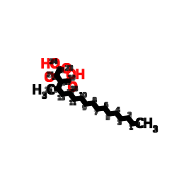 CCCCCCCCCCCCCCC(C)C(C(=O)O)C(=O)C(=O)O